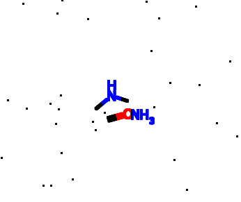 C=O.CNC.N